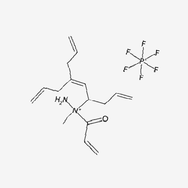 C=CCC(=CC(CC=C)[N+](C)(N)C(=O)C=C)CC=C.F[P-](F)(F)(F)(F)F